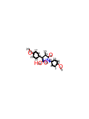 COc1ccc(NC(=O)C(C)C(C(=O)O)c2ccc(OC)cc2)cc1